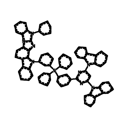 c1ccc(-n2c3ccccc3n3c4ccc5c6ccccc6n(-c6cccc([Si](c7ccccc7)(c7ccccc7)c7cccc(-c8nc(-n9c%10ccccc%10c%10ccccc%109)cc(-n9c%10ccccc%10c%10ccccc%109)n8)c7)c6)c5c4nc23)cc1